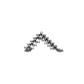 O=[Si](O)O.O=[Si](O)O.O=[Si](O)O.O=[Si](O)O.O=[Si](O)O.O=[Si](O)O.O=[Si](O)O.O=[Si](O)O.O=[Si](O)O.O=[Si](O)O.[NaH].[NaH].[NaH].[NaH].[NaH]